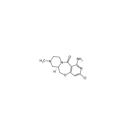 CN1CCN2C(=O)c3c(cc(Cl)nc3N)OC[C@H]2C1